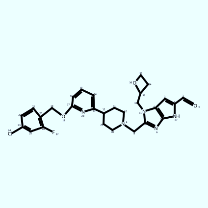 O=Cc1cc2c(nc(CN3CCC(c4cccc(OCc5ccc(Cl)cc5F)n4)CC3)n2CC2CCO2)[nH]1